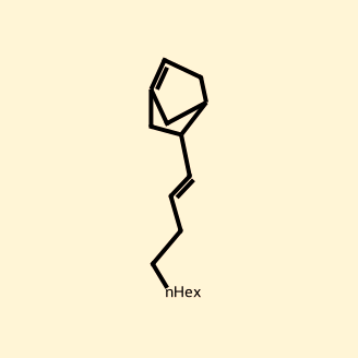 CCCCCCCCC=CC1CC2=CCC1C2